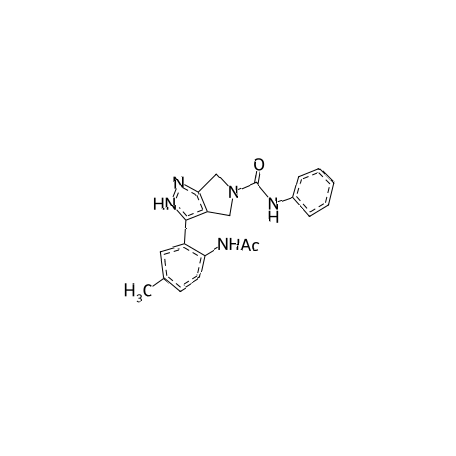 CC(=O)Nc1ccc(C)cc1-c1[nH]nc2c1CN(C(=O)Nc1ccccc1)C2